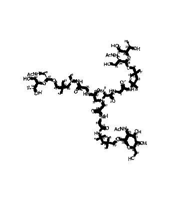 CCCCCCC(C(=O)NCC(=O)NC(C)(C)CC(C)(C)COC(OC(CO)[C@@H](C)O)[C@H](CO)NC(C)=O)N(CC(=O)NCC(=O)NN(C)CC(C)(C)CO[C@@H](CNC(C)=O)OC(CO)[C@@H](C)O)CC(=O)NCC(=O)NC(C)(C)CC(C)(C)COC1OC(CO)C(O)C(O)C1NC(C)=O